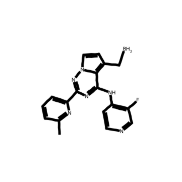 BCc1ccn2nc(-c3cccc(C)n3)nc(Nc3ccncc3F)c12